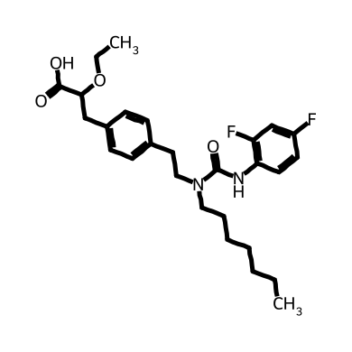 CCCCCCCN(CCc1ccc(CC(OCC)C(=O)O)cc1)C(=O)Nc1ccc(F)cc1F